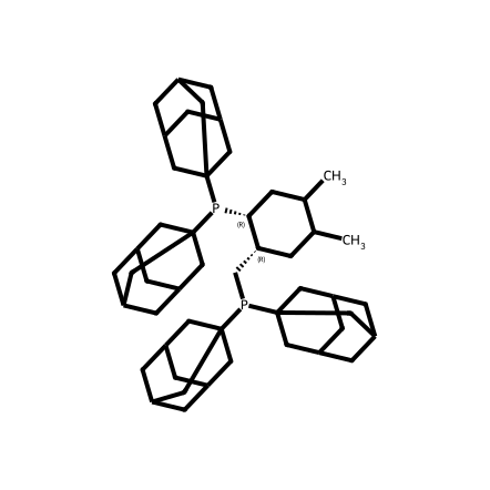 CC1C[C@H](CP(C23CC4CC(CC(C4)C2)C3)C23CC4CC(CC(C4)C2)C3)[C@H](P(C23CC4CC(CC(C4)C2)C3)C23CC4CC(CC(C4)C2)C3)CC1C